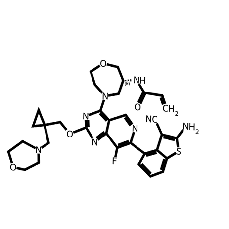 C=CC(=O)N[C@H]1COCCN(c2nc(OCC3(CN4CCOCC4)CC3)nc3c(F)c(-c4cccc5sc(N)c(C#N)c45)ncc23)C1